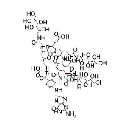 Nc1nc2ncc(CNc3ccc(C(=O)N[C@@H](CCC(=O)C[C@@H](CCC(=O)NC[C@H](O)[C@@H](O)[C@H](O)[C@H](O)CO)C(=O)N[C@@H](CCC(=O)O)C(=O)C[C@@H](CCC(=O)NC[C@H](O)[C@@H](O)[C@H](O)[C@H](O)CO)C(=O)N[C@@H](CCC(=O)O)C(=O)C[C@@H](CCC(=O)NC[C@H](O)[C@@H](O)[C@H](O)[C@H](O)CO)C(=O)N[C@@H](CS)C(=O)O)C(=O)O)cc3)nc2c(=O)[nH]1